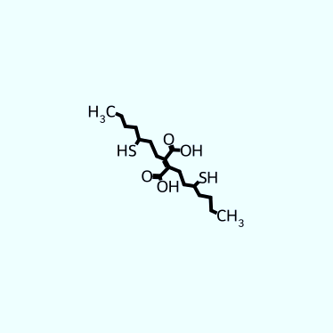 CCCCC(S)CCC(C(=O)O)=C(CCC(S)CCCC)C(=O)O